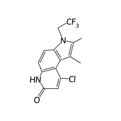 Cc1c(C)n(CC(F)(F)F)c2ccc3[nH]c(=O)cc(Cl)c3c12